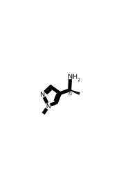 C[C@H](N)c1cnn(C)c1